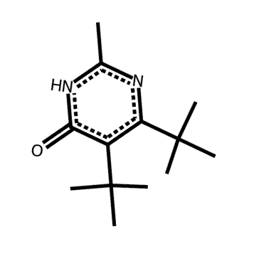 Cc1nc(C(C)(C)C)c(C(C)(C)C)c(=O)[nH]1